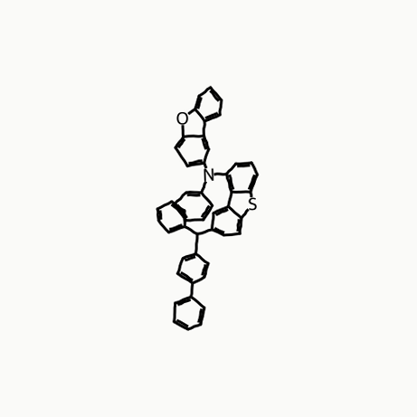 c1ccc(-c2ccc(C(c3ccccc3)c3ccc4sc5cccc(N(c6ccccc6)c6ccc7oc8ccccc8c7c6)c5c4c3)cc2)cc1